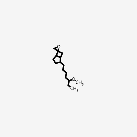 CCC(CCCCC1CCC2C1CC21CO1)OC